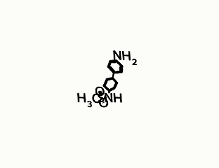 CS(=O)(=O)N[C@H]1CC[C@@H](c2ccc(N)cc2)CC1